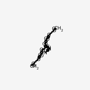 C=CC(=O)OCCCCCCOc1ccc(OC(=O)C2CCC(C(=O)OCCc3ccc(OC(=O)C4CCC(C(=O)Oc5ccc(OCCCCCCOC(=O)C=C)cc5)CC4)c4nc(/N=N\c5ccc(C#N)cc5)sc34)CC2)cc1